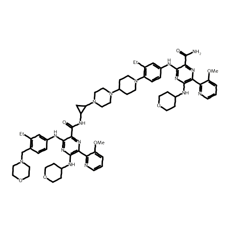 CCc1cc(Nc2nc(NC3CCOCC3)c(-c3ncccc3OC)nc2C(=O)NC2CC2N2CCN(C3CCN(c4ccc(Nc5nc(NC6CCOCC6)c(-c6ncccc6OC)nc5C(N)=O)cc4CC)CC3)CC2)ccc1CN1CCOCC1